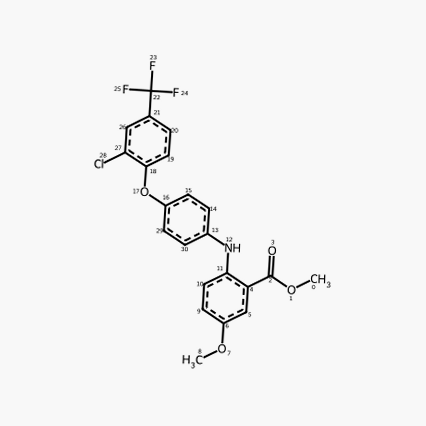 COC(=O)c1cc(OC)ccc1Nc1ccc(Oc2ccc(C(F)(F)F)cc2Cl)cc1